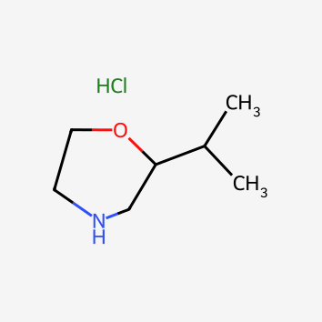 CC(C)C1CNCCO1.Cl